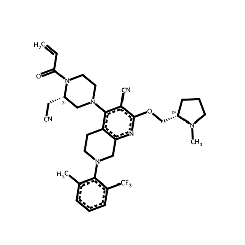 C=CC(=O)N1CCN(c2c(C#N)c(OC[C@@H]3CCCN3C)nc3c2CCN(c2c(C)cccc2C(F)(F)F)C3)C[C@@H]1CC#N